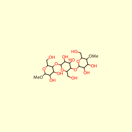 COC1OC(CO)C(OC2OC(CO)C(OC3OC(CO)C(OC)C(O)C3O)C(O)C2O)C(O)C1O